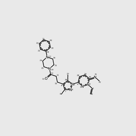 C=Cn1nc(-n2nc(C)c(CCC(=O)N3CCN(c4ccccc4)CC3)c2C)cc/c1=N/C